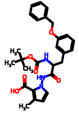 Cc1ccn(NC(=O)C(Cc2cccc(OCc3ccccc3)c2)NC(=O)OC(C)(C)C)c1C(=O)O